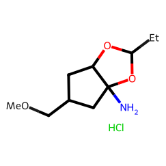 CCC1OC2CC(COC)CC2(N)O1.Cl